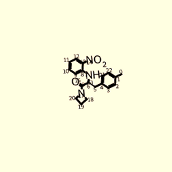 Cc1ccc(C[C@H](Nc2ccccc2[N+](=O)[O-])C(=O)N2CCC2)cc1